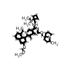 [CH2][C@@H]1CC[C@@]2(COc3nc(NCC4(N(C)C)CCC4)c4cnc(-c5cc(OCOC)cc6cccc(CC)c56)c(F)c4n3)CCCN12